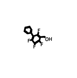 OCc1c(F)c(F)c(F)c(-c2ccccc2)c1F